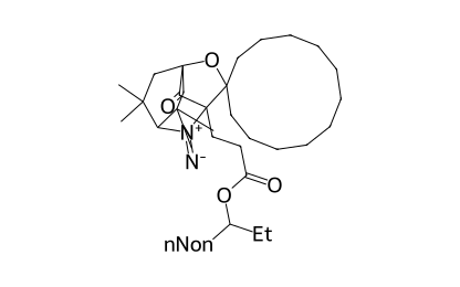 CCCCCCCCCC(CC)OC(=O)CCC12C(=O)C3(CC(C)(C)C([N+]1=[N-])C(C)(C)C3)OC21CCCCCCCCCCC1